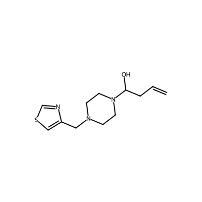 C=CCC(O)N1CCN(Cc2cscn2)CC1